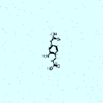 Nc1cc(CC(=O)O)ccc1CCC(=O)O